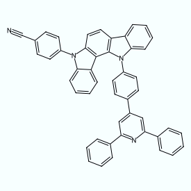 N#Cc1ccc(-n2c3ccccc3c3c2ccc2c4ccccc4n(-c4ccc(-c5cc(-c6ccccc6)nc(-c6ccccc6)c5)cc4)c23)cc1